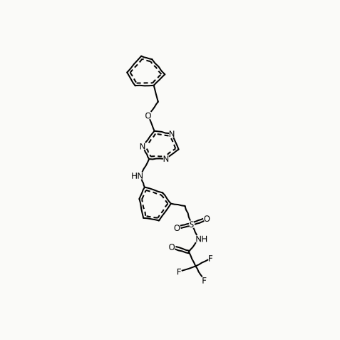 O=C(NS(=O)(=O)Cc1cccc(Nc2ncnc(OCc3ccccc3)n2)c1)C(F)(F)F